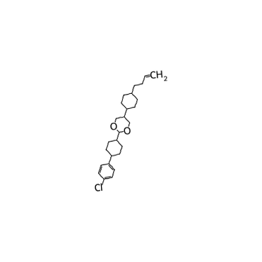 C=CCCC1CCC(C2COC(C3CCC(c4ccc(Cl)cc4)CC3)OC2)CC1